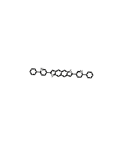 c1ccc(-c2ccc(-c3cc4cc5cc6sc(-c7ccc(-c8ccccc8)nc7)cc6cc5cc4s3)cn2)cc1